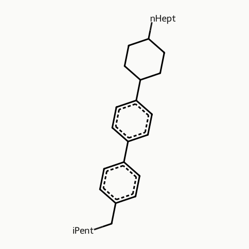 CCCCCCCC1CCC(c2ccc(-c3ccc(CC(C)CCC)cc3)cc2)CC1